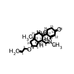 C=CCO[C@H]1C[C@H]2[C@@H]3CN(C)C4=CC(=O)CC[C@]4(C)[C@H]3CC[C@]2(C)C1